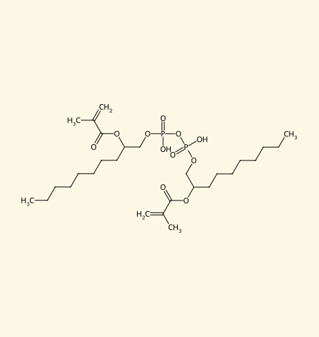 C=C(C)C(=O)OC(CCCCCCCC)COP(=O)(O)OP(=O)(O)OCC(CCCCCCCC)OC(=O)C(=C)C